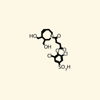 O=C(CCC(=O)N1CCC#CC(CO)C(CO)C1)Oc1c(Cl)cc(S(=O)(=O)O)cc1Cl